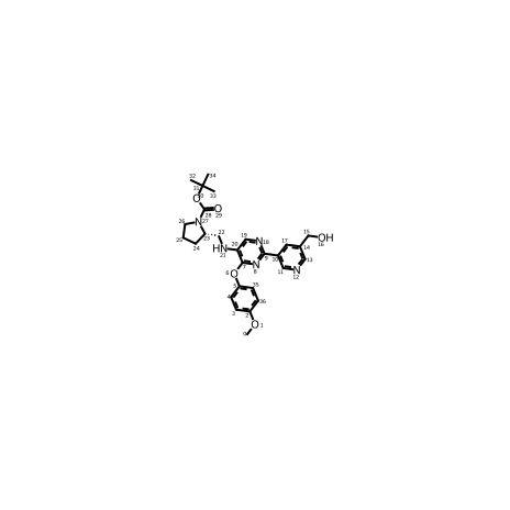 COc1ccc(Oc2nc(-c3cncc(CO)c3)ncc2NC[C@@H]2CCCN2C(=O)OC(C)(C)C)cc1